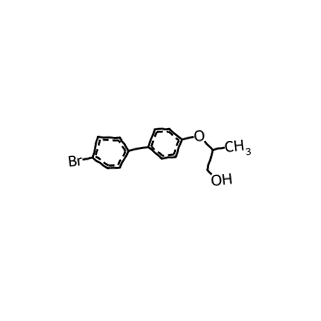 CC(CO)Oc1ccc(-c2ccc(Br)cc2)cc1